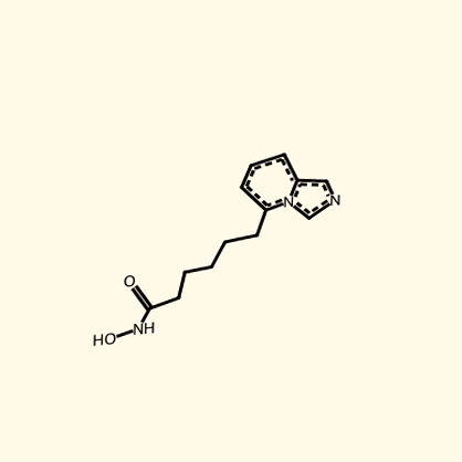 O=C(CCCCCc1cccc2cncn12)NO